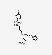 O=C(O)CCC(CCCCNS(=O)(=O)c1ccc(F)cc1)CCCn1ccnc1